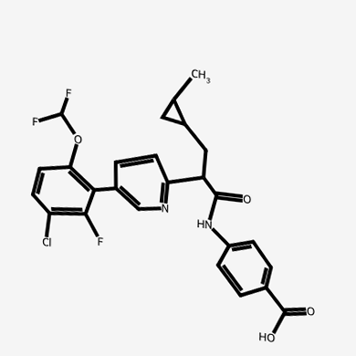 CC1CC1CC(C(=O)Nc1ccc(C(=O)O)cc1)c1ccc(-c2c(OC(F)F)ccc(Cl)c2F)cn1